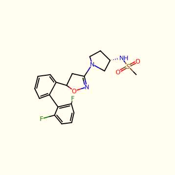 CS(=O)(=O)N[C@H]1CCN(C2=NOC(c3ccccc3-c3c(F)cccc3F)C2)C1